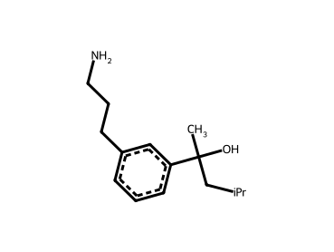 CC(C)CC(C)(O)c1cccc(CCCN)c1